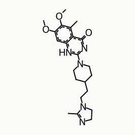 COc1cc2[nH]c(N3CCC(CCN4CCN=C4C)CC3)nc(=O)c2c(C)c1OC